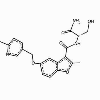 Cc1ccc(COc2ccc3oc(C)c(C(=O)N[C@@H](CO)C(N)=O)c3c2)cn1